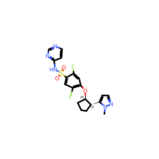 Cn1nccc1[C@@H]1CCC[C@H]1Oc1cc(F)c(S(=O)(=O)Nc2ccncn2)cc1F